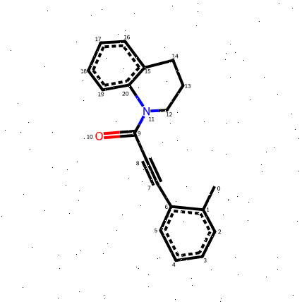 Cc1ccccc1C#CC(=O)N1CCCc2ccccc21